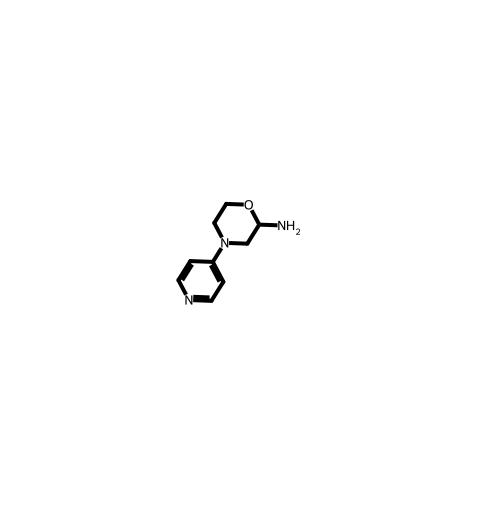 NC1CN(c2ccncc2)CCO1